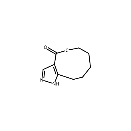 O=C1CCCCCCc2[nH]ncc21